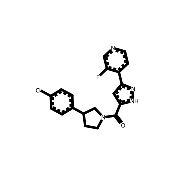 O=C(c1cc(-c2ccncc2F)n[nH]1)N1CCC(c2ccc(Cl)cc2)C1